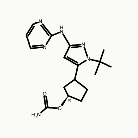 CC(C)(C)n1nc(Nc2ncccn2)cc1C1CC[C@@H](OC(N)=O)C1